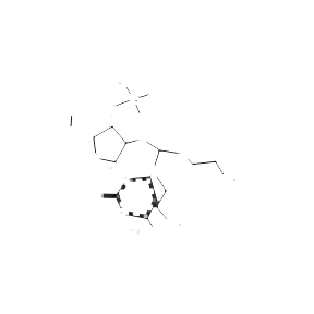 CC(=O)Nc1ccn([C@@H]2O[C@H](CI)[C@H](O[Si](C)(C)C(C)(C)C)C2OC(OCCOC(C)=O)OCCOC(C)=O)c(=O)n1